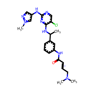 CC(Nc1nc(Nc2cnn(C)c2)ncc1Cl)c1cccc(NC(=O)/C=C/CN(C)C)c1